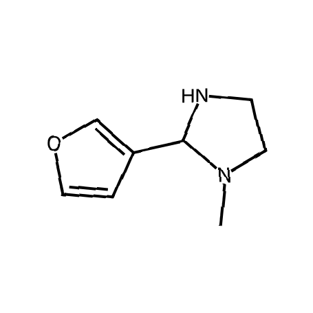 CN1CCNC1c1ccoc1